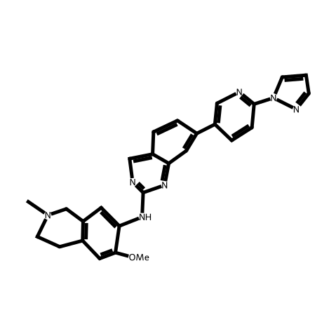 COc1cc2c(cc1Nc1ncc3ccc(-c4ccc(-n5cccn5)nc4)cc3n1)CN(C)CC2